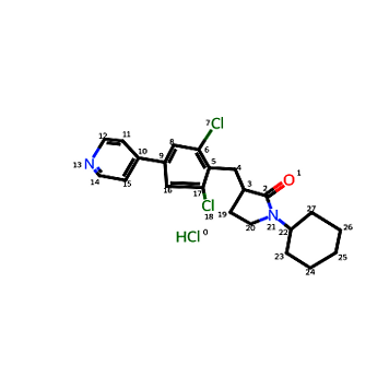 Cl.O=C1C(Cc2c(Cl)cc(-c3ccncc3)cc2Cl)CCN1C1CCCCC1